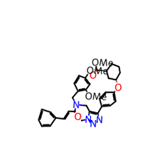 COC(=O)[C@H]1CCC[C@H](Oc2ccc(-c3nnn(C)c3CN(Cc3ccc(OC)cc3OC)C(=O)/C=C/c3ccccc3)cc2)C1